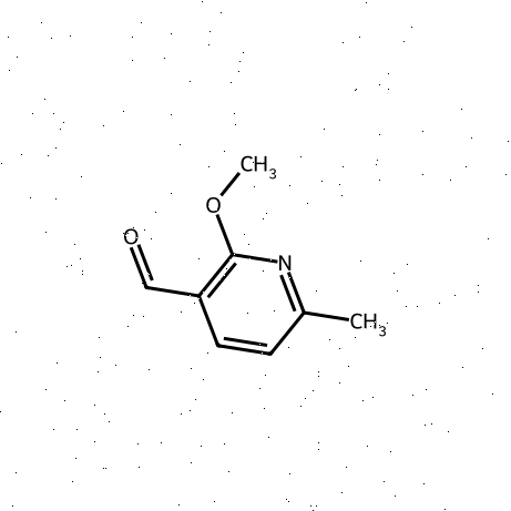 COc1nc(C)ccc1C=O